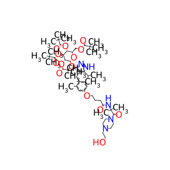 Cc1cc(OCCCC(=O)NC(C)(C)C(=O)N2CCN(CCO)CC2)ccc1Cc1c(O[C@@H]2O[C@H](COC(=O)C(C)(C)C)[C@@H](OC(=O)C(C)(C)C)[C@H](OC(=O)C(C)(C)C)[C@H]2OC(=O)C(C)(C)C)n[nH]c1C(C)C